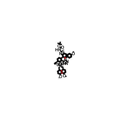 C#Cc1ccc(-c2cccc3sc(NC(=O)OC(C)(C)C)nc23)c(-c2nnnn2Cc2ccc(OC)cc2)c1S(=O)(=O)N(Cc1ccc(OC)cc1)Cc1ccc(OC)cc1